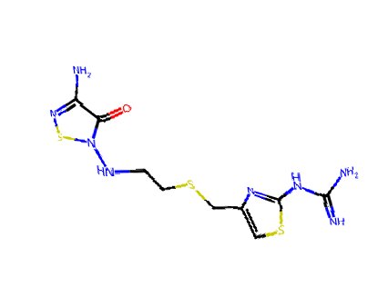 N=C(N)Nc1nc(CSCCNn2snc(N)c2=O)cs1